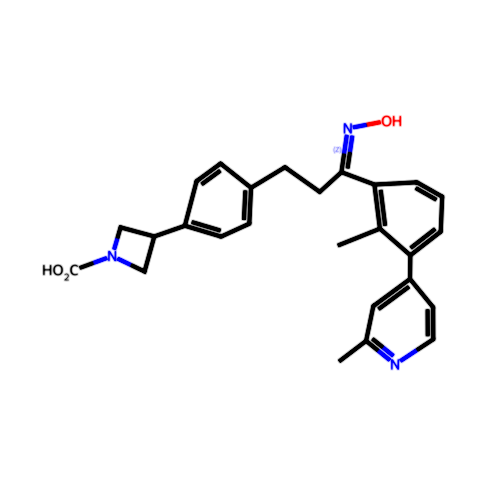 Cc1cc(-c2cccc(/C(CCc3ccc(C4CN(C(=O)O)C4)cc3)=N\O)c2C)ccn1